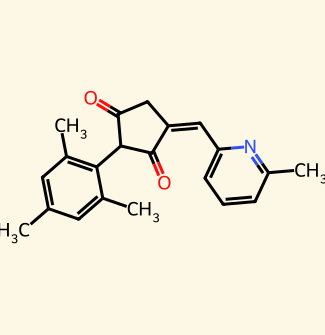 Cc1cc(C)c(C2C(=O)CC(=Cc3cccc(C)n3)C2=O)c(C)c1